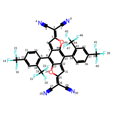 N#CC(C#N)=c1cc2c(-c3ccc(C(F)(F)F)cc3C(F)(F)F)c3oc(=C(C#N)C#N)cc3c(-c3ccc(C(F)(F)F)cc3C(F)(F)F)c2o1